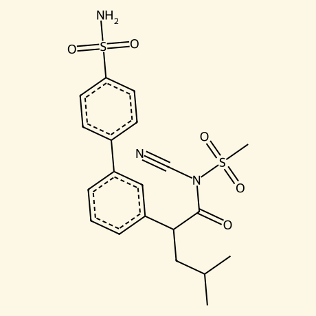 CC(C)CC(C(=O)N(C#N)S(C)(=O)=O)c1cccc(-c2ccc(S(N)(=O)=O)cc2)c1